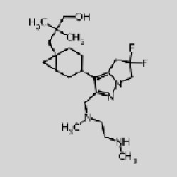 CNCCN(C)Cc1nn2c(c1[C@@H]1CC[C@@]3(CC(C)(C)CO)CC3C1)CC(F)(F)C2